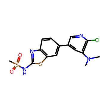 CN(C)c1cc(-c2ccc3nc(NS(C)(=O)=O)sc3c2)cnc1Cl